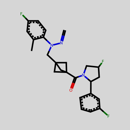 C=NN(CC12CC(C(=O)N3CC(F)CC3c3cccc(F)c3)(C1)C2)c1ccc(F)cc1C